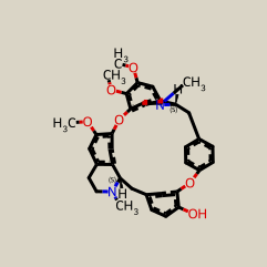 COc1cc2c3cc1Oc1c4c(cc(OC)c1OC)[C@H](Cc1ccc(cc1)Oc1cc(ccc1O)C[C@@H]3N(C)CC2)N(C)CC4